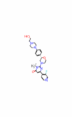 Cn1c(N2CCO[C@@H](c3ccc(N4CCN(CCO)CC4)cc3)C2)nc(-c2ccncc2F)cc1=O